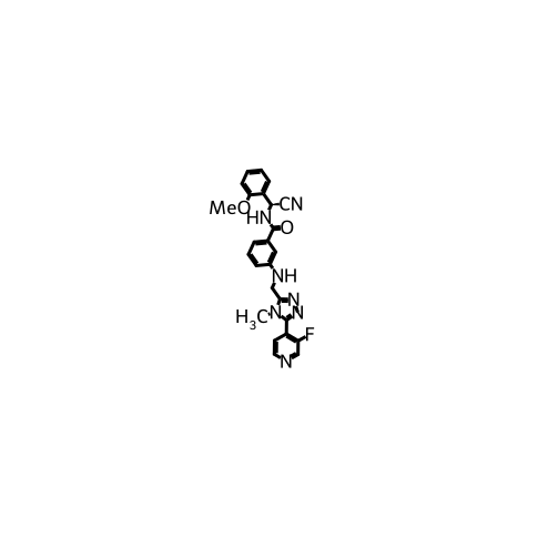 COc1ccccc1[C@@H](C#N)NC(=O)c1cccc(NCc2nnc(-c3ccncc3F)n2C)c1